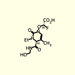 CCN1C(=O)N(O[C@@H](F)C(=O)O)C=C(C)[C@H]1C(=O)NCO